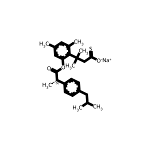 Cc1cc(C)c(C(C)(C)CC([O-])=S)c(OC(=O)[C@@H](C)c2ccc(CC(C)C)cc2)c1.[Na+]